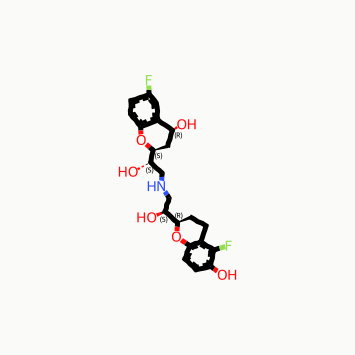 Oc1ccc2c(c1F)CC[C@H]([C@@H](O)CNC[C@H](O)[C@@H]1C[C@@H](O)c3cc(F)ccc3O1)O2